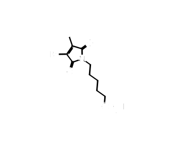 CC1=C(Br)C(=O)N(CCCCCC(=O)O)C1=O